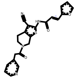 N#Cc1c(NC(=O)/C=C/c2ccco2)sc2c1CCN(C(=O)Cc1cccnc1)C2